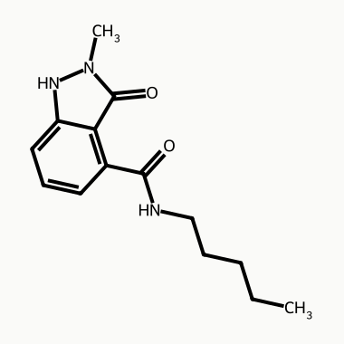 CCCCCNC(=O)c1cccc2[nH]n(C)c(=O)c12